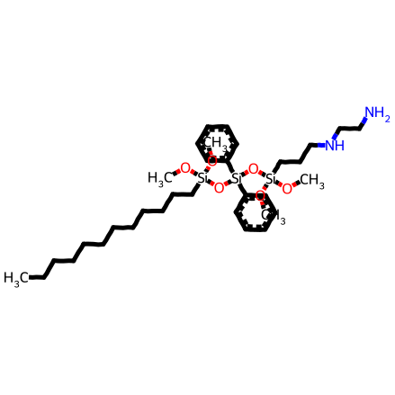 CCCCCCCCCCCC[Si](OC)(OC)O[Si](O[Si](CCCNCCN)(OC)OC)(c1ccccc1)c1ccccc1